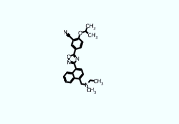 CCN(C)Cc1ccc(-c2noc(-c3ccc(OC(C)C)c(C#N)c3)n2)c2ccccc12